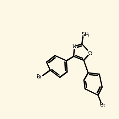 Sc1nc(-c2ccc(Br)cc2)c(-c2ccc(Br)cc2)o1